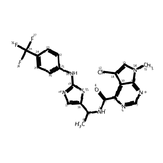 CC(NC(=O)c1ncnc2c1c(Cl)cn2C)c1cnc(Nc2ccc(C(F)(F)F)cc2)s1